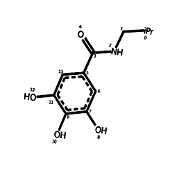 CC(C)CNC(=O)c1cc(O)c(O)c(O)c1